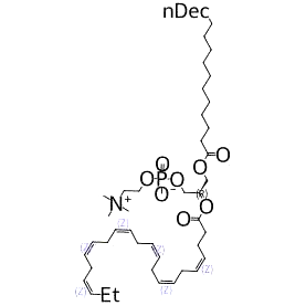 CC/C=C\C/C=C\C/C=C\C/C=C\C/C=C\C/C=C\CCC(=O)O[C@H](COC(=O)CCCCCCCCCCCCCCCCCCCC)COP(=O)([O-])OCC[N+](C)(C)C